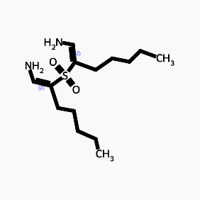 CCCCC/C(=C/N)S(=O)(=O)/C(=C\N)CCCCC